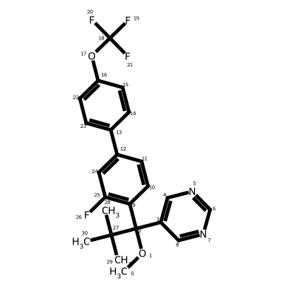 COC(c1cncnc1)(c1ccc(-c2ccc(OC(F)(F)F)cc2)cc1F)C(C)(C)C